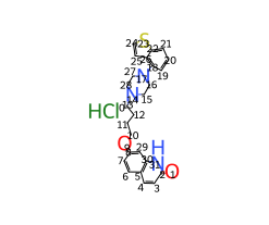 Cl.O=c1ccc2ccc(OCCCCN3CCN(c4cccc5sccc45)CC3)cc2[nH]1